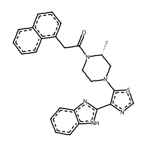 C[C@@H]1CN(c2scnc2-c2nc3ccccc3[nH]2)CCN1C(=O)Cc1cccc2ccccc12